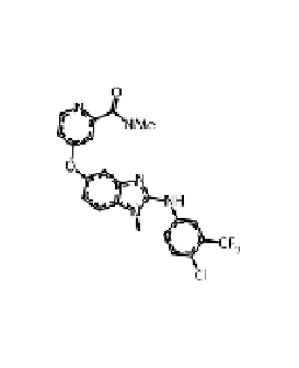 CNC(=O)c1cc(Oc2ccc3c(c2)nc(Nc2ccc(Cl)c(C(F)(F)F)c2)n3C)ccn1